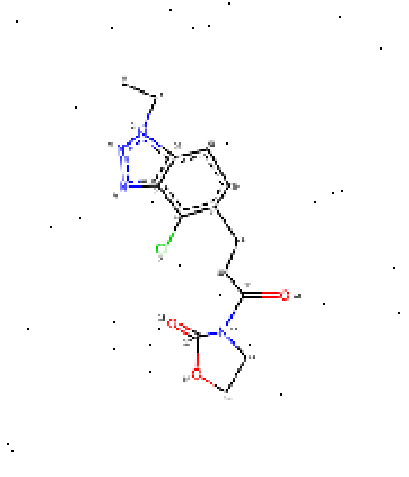 CCn1nnc2c(Cl)c(CCC(=O)N3CCOC3=O)ccc21